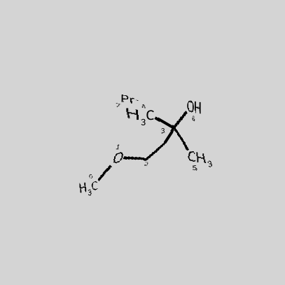 COCC(C)(C)O.[Pr]